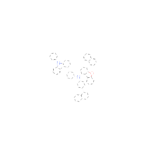 c1ccc(-n2c3ccccc3c3c(-c4cccc(N(c5ccc(-c6cccc7ccccc67)cc5)c5ccc(-c6cccc7ccccc67)c6oc7ccccc7c56)c4)cccc32)cc1